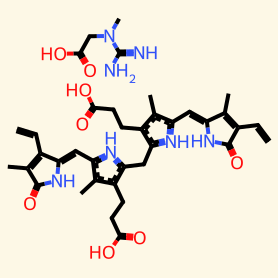 C=CC1=C(C)/C(=C/c2[nH]c(Cc3[nH]c(/C=C4\NC(=O)C(C)=C4C=C)c(C)c3CCC(=O)O)c(CCC(=O)O)c2C)NC1=O.CN(CC(=O)O)C(=N)N